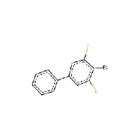 CCc1c(F)cc(-c2ccccc2)cc1F